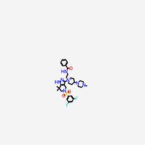 CN1CCN(C2CC[N+](CCNC(=O)c3ccccc3)(c3n[nH]c4c3CN(S(=O)(=O)c3cc(F)cc(F)c3)CC4(C)C)CC2)CC1